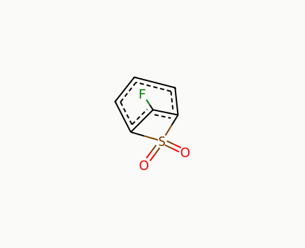 O=S1(=O)c2cccc1c2F